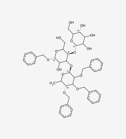 CC1O[C@@H](OC2C(O)[C@H](OCc3ccccc3)OC(CO)[C@H]2O[C@@H]2OC(CO)[C@H](O)C(O)C2O)C(OCc2ccccc2)C(OCc2ccccc2)[C@@H]1OCc1ccccc1